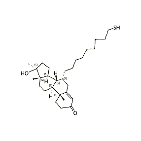 C[C@]12CCC(=O)C=C1C[C@@H](CCCCCCCCCS)[C@@H]1[C@@H]2CC[C@@]2(C)[C@H]1CC[C@]2(C)O